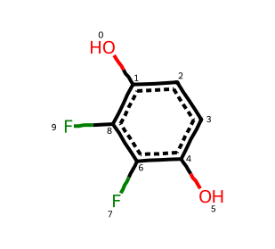 Oc1ccc(O)c(F)c1F